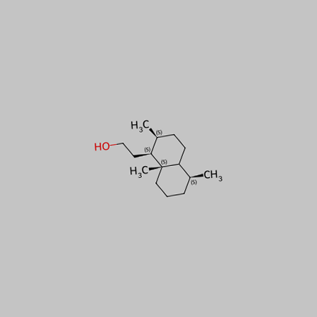 C[C@H]1CCC[C@@]2(C)C1CC[C@H](C)[C@@H]2CCO